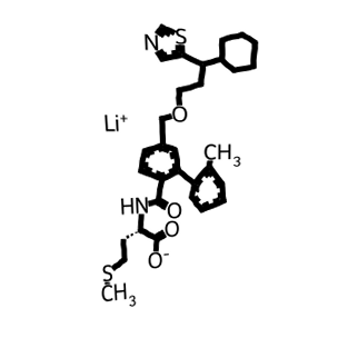 CSCC[C@H](NC(=O)c1ccc(COCCC(c2cncs2)C2CCCCC2)cc1-c1ccccc1C)C(=O)[O-].[Li+]